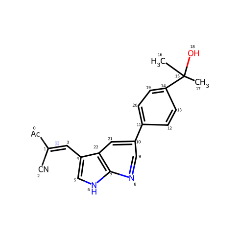 CC(=O)/C(C#N)=C/c1c[nH]c2ncc(-c3ccc(C(C)(C)O)cc3)cc12